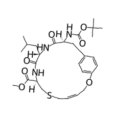 COC(=O)[C@@H]1CSCC=CCOc2ccc(cc2)C[C@H](NC(=O)OC(C)(C)C)C(=O)N[C@@H](CC(C)C)C(=O)N1